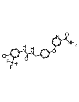 NC(=O)c1cc(Oc2ccc(CNC(=O)Nc3ccc(Cl)c(C(F)(F)F)c3)cc2)ccn1